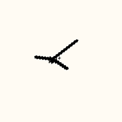 CCCCCCCCCCCCCCCCCCCc1n(CCCCCCCCCCCC)cc[n+]1CCCCCCCCCCCC